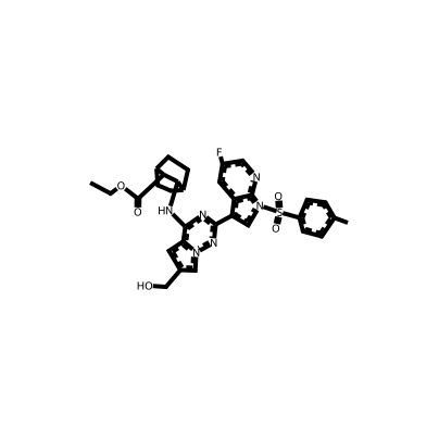 CCOC(=O)C1C2CCC(CC2)C1Nc1nc(-c2cn(S(=O)(=O)c3ccc(C)cc3)c3ncc(F)cc23)nn2cc(CO)cc12